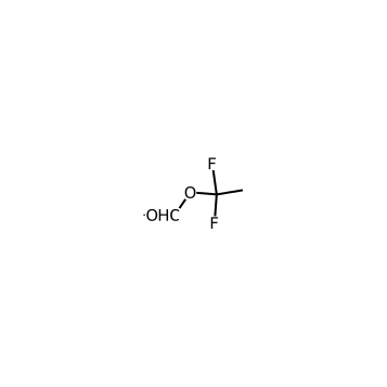 CC(F)(F)O[C]=O